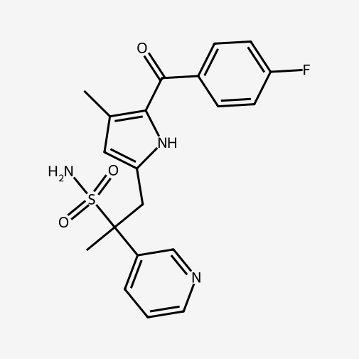 Cc1cc(CC(C)(c2cccnc2)S(N)(=O)=O)[nH]c1C(=O)c1ccc(F)cc1